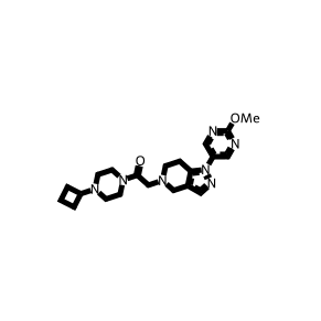 COc1ncc(-n2ncc3c2CCN(CC(=O)N2CCN(C4CCC4)CC2)C3)cn1